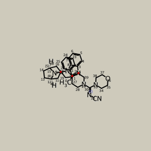 Cc1nc2ccccc2n1[C@H]1C[C@H]2CC[C@@H](C1)N2CCC1(c2ccccc2)CCN(/C(=N/C#N)N2CCOCC2)CC1